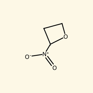 O=[N+]([O-])[C]1CCO1